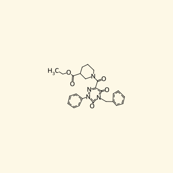 CCOC(=O)C1CCCN(C(=O)c2nn(-c3ccccc3)c(=O)n(Cc3ccccc3)c2=O)C1